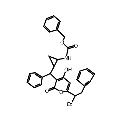 CCC(Cc1ccccc1)c1cc(O)c(C(c2ccccc2)C2CC2NC(=O)OCc2ccccc2)c(=O)o1